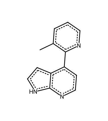 Cc1cccnc1-c1ccnc2[nH]ccc12